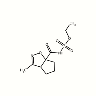 CCOS(=O)(=O)NC(=O)C12CCCC1C(C)=NO2